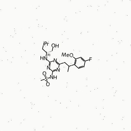 COc1cc(F)ccc1C(C)Cc1nc(N[C@@H](CO)CC(C)C)nc(NS(C)(=O)=O)n1